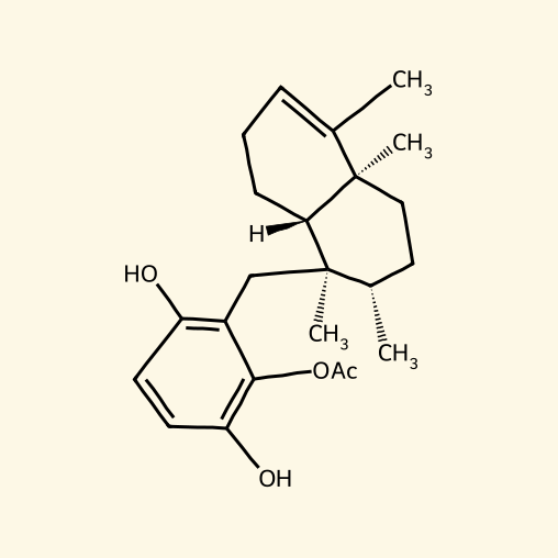 CC(=O)Oc1c(O)ccc(O)c1C[C@]1(C)[C@@H](C)CC[C@]2(C)C(C)=CCC[C@@H]12